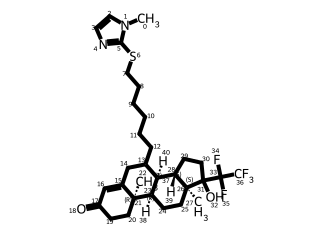 Cn1ccnc1SCCCCCCC1CC2=CC(=O)CC[C@]2(C)[C@@H]2CC[C@@]3(C)[C@@H](CCC3(O)C(F)(F)C(F)(F)F)[C@H]12